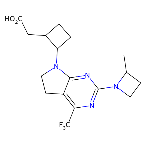 CC1CCN1c1nc2c(c(C(F)(F)F)n1)CCN2C1CCC1CC(=O)O